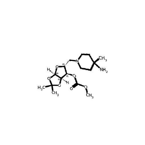 COC(=O)O[C@H]1[C@H]2OC(C)(C)O[C@H]2O[C@@H]1CN1CCC(C)(N)CC1